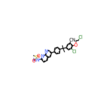 CC(C)(c1ccc(-c2cnc3nc(NS(C)(=O)=O)ccc3c2)cc1)c1cc(Cl)c(OCCCl)c(C#N)c1